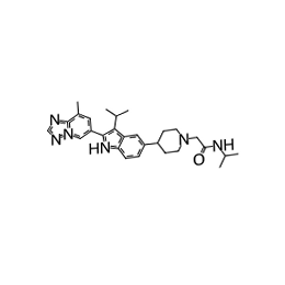 Cc1cc(-c2[nH]c3ccc(C4CCN(CC(=O)NC(C)C)CC4)cc3c2C(C)C)cn2ncnc12